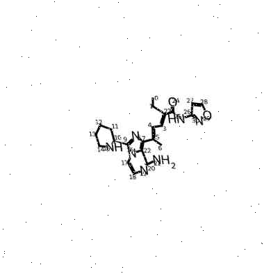 CC/C(=C\C=C(/C)c1nc([C@@H]2CCCCN2)n2ccnc(N)c12)C(=O)Nc1ccon1